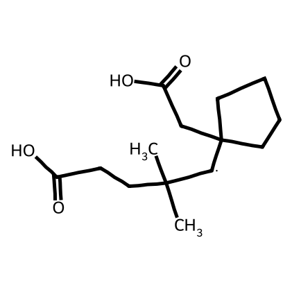 CC(C)([CH]C1(CC(=O)O)CCCC1)CCC(=O)O